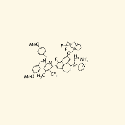 COc1ccc(CN(Cc2ccc(OC)cc2)c2cc(C)c(C(F)(F)F)c(-c3cc4c5c(cc(OC[C@@]67CCCN6C[C@]6(CC6(F)F)C7)cc5c3F)C([C@@H](C)c3cccnc3N)CCC4)n2)cc1